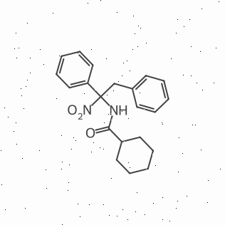 O=C(NC(Cc1ccccc1)(c1ccccc1)[N+](=O)[O-])C1CCCCC1